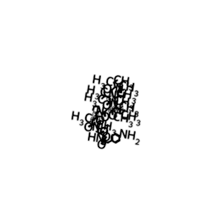 CC[C@H](C)[C@@H]([C@@H](CC(=O)N1CCC[C@H]1[C@H](OC)[C@@H](C)C(=O)NCC(=O)NS(=O)(=O)Cc1ccc(N)cc1)OC)N(C)C(=O)[C@@H](NC(=O)C(C(C)C)N(C)C)C(C)C